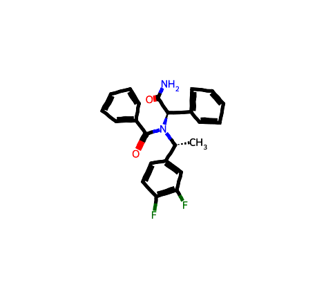 C[C@H](c1ccc(F)c(F)c1)N(C(=O)c1ccccc1)[C@@H](C(N)=O)c1ccccc1